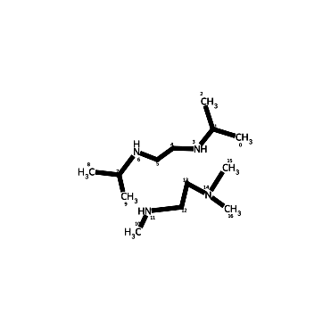 CC(C)NCCNC(C)C.CNCCN(C)C